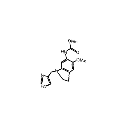 COC(=O)Nc1cc2c(cc1OC)CCN2Cc1c[nH]cn1